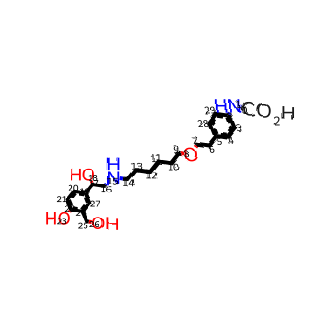 O=C(O)Nc1ccc(CCOCCCCCCNCC(O)c2ccc(O)c(CO)c2)cc1